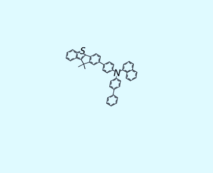 CC1(C)c2cc(-c3ccc(N(c4ccc(-c5ccccc5)cc4)c4cccc5ccccc45)cc3)ccc2-c2sc3ccccc3c21